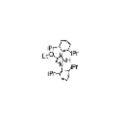 CCOC1=CN(c2c(C(C)C)cccc2C(C)C)NN1c1c(C(C)C)cccc1C(C)C